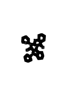 O=c1c2c(c3ccccc3n2-c2ccccc2)n2c(=O)c3ccccc3nc2n1-c1ccccc1